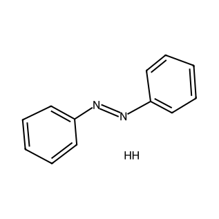 [HH].c1ccc(N=Nc2ccccc2)cc1